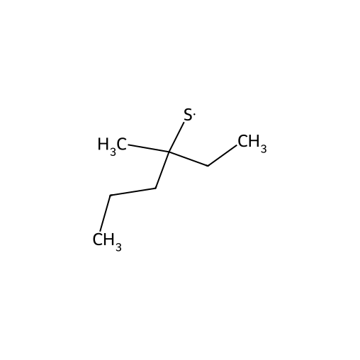 CCCC(C)([S])CC